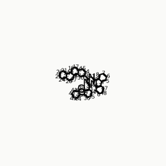 c1ccc(-c2ccccc2-c2nc(-c3ccc4ccc5c6ccccc6ccc5c4c3)nc(-c3cccc4c3oc3ccccc34)n2)cc1